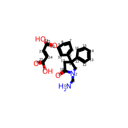 NCN1CC(c2ccccc2)(c2ccccc2)CC1=O.O=C(O)C=CC(=O)O